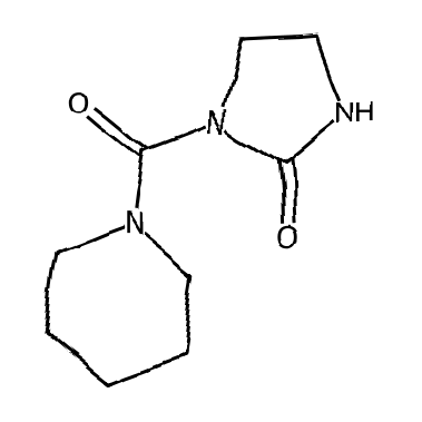 O=C1NCCN1C(=O)N1CCCCC1